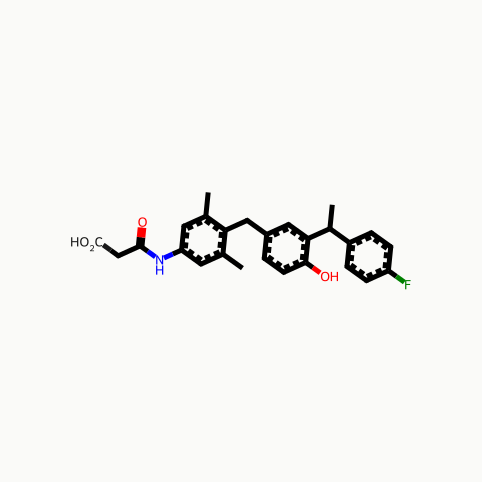 Cc1cc(NC(=O)CC(=O)O)cc(C)c1Cc1ccc(O)c(C(C)c2ccc(F)cc2)c1